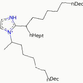 CCCCCCCCCCCCCCCC(CCCCCCC)c1[nH]cc[n+]1C(C)CCCCCCCCCCCCCCC